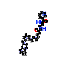 CC/C=C\C/C=C\C/C=C\C/C=C\C/C=C\C/C=C\CCC(=O)NCCNC(=O)c1cccnc1